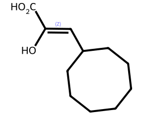 O=C(O)/C(O)=C/C1CCCCCCC1